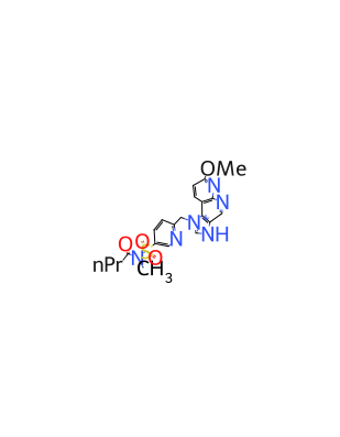 CCCC(=O)N(C)S(=O)(=O)c1ccc(C[n+]2c[nH]c3cnc4nc(OC)ccc4c32)nc1